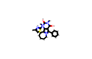 Cc1csc([N+]2(C)C(=O)N(C)C(=O)c3c2c2n(c3-c3ccccc3)CCCCC2)n1